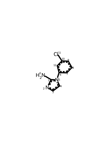 Nc1nccn1-c1cccc(Cl)c1